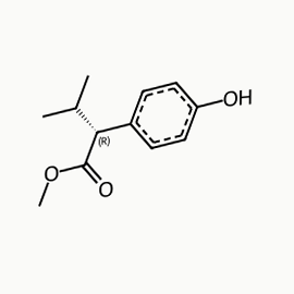 COC(=O)[C@@H](c1ccc(O)cc1)C(C)C